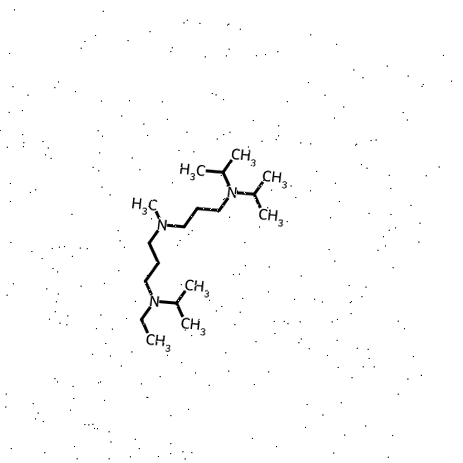 CCN(CCCN(C)CCCN(C(C)C)C(C)C)C(C)C